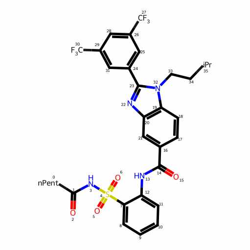 CCCCCC(=O)NS(=O)(=O)c1ccccc1NC(=O)c1ccc2c(c1)nc(-c1cc(C(F)(F)F)cc(C(F)(F)F)c1)n2CCC(C)C